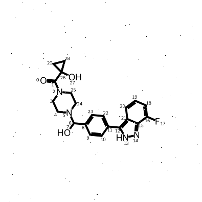 O=C(N1CCN(C(O)c2ccc(-c3[nH]nc4c(F)cccc34)cc2)CC1)C1(O)CC1